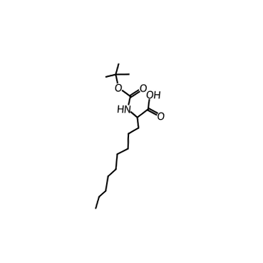 CCCCCCCCCC(NC(=O)OC(C)(C)C)C(=O)O